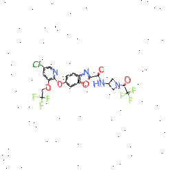 O=C(NC1CN(C(=O)C(F)(F)F)C1)c1nc2ccc(Oc3ncc(Cl)cc3OCC(F)(F)F)cc2o1